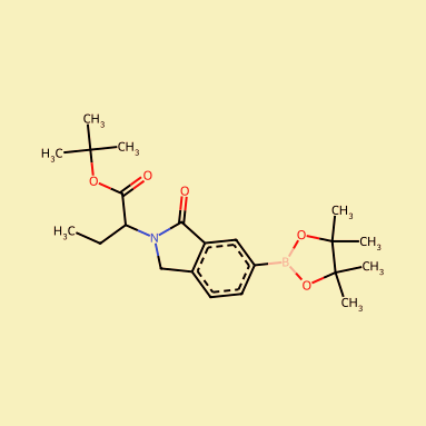 CCC(C(=O)OC(C)(C)C)N1Cc2ccc(B3OC(C)(C)C(C)(C)O3)cc2C1=O